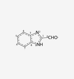 O=[C]c1nc2ccccc2[nH]1